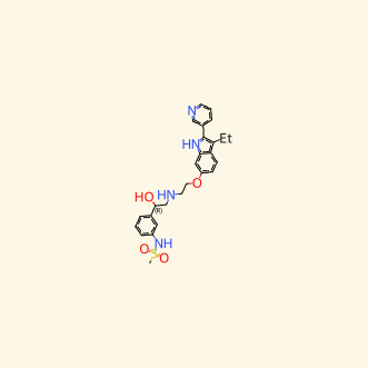 CCc1c(-c2cccnc2)[nH]c2cc(OCCNC[C@H](O)c3cccc(NS(C)(=O)=O)c3)ccc12